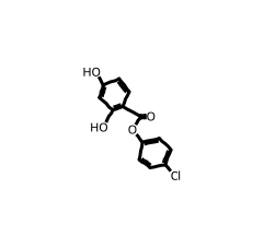 O=C(Oc1ccc(Cl)cc1)c1ccc(O)cc1O